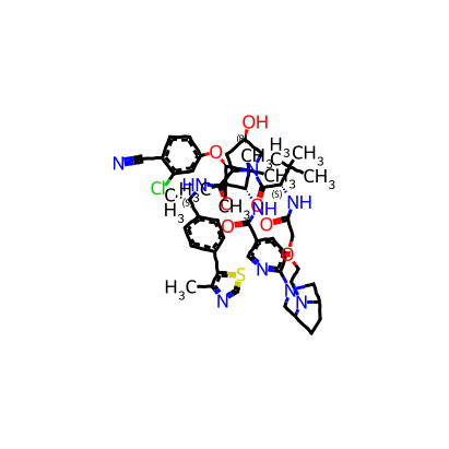 Cc1ncsc1-c1ccc([C@H](C)NC(=O)C2C[C@@H](O)CN2C(=O)[C@@H](NC(=O)COCCN2C3CCC2CN(c2ccc(C(=O)N[C@H]4C(C)(C)[C@H](Oc5ccc(C#N)c(Cl)c5)C4(C)C)cn2)C3)C(C)(C)C)cc1